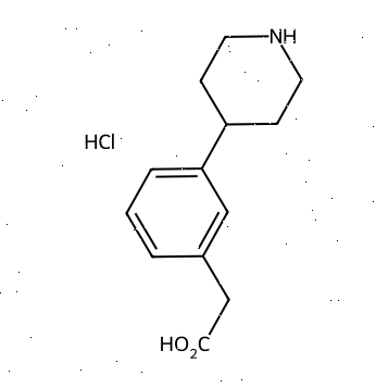 Cl.O=C(O)Cc1cccc(C2CCNCC2)c1